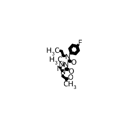 CCC(C)N(C(=O)n1nnn(CC(C)=O)c1=O)c1ccc(F)cc1